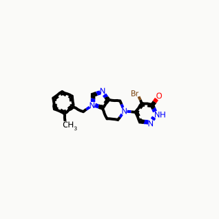 Cc1ccccc1Cn1cnc2c1CCN(c1cn[nH]c(=O)c1Br)C2